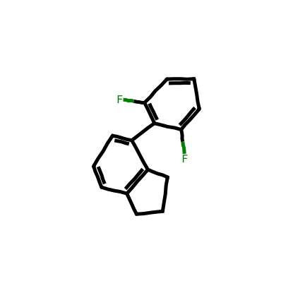 Fc1cccc(F)c1-c1cccc2c1CCC2